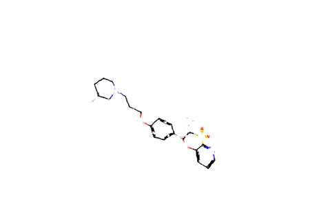 CC[C@H]1[C@H](c2ccc(OCCCN3CCC[C@H](C)C3)cc2)Oc2cccnc2S1(=O)=O